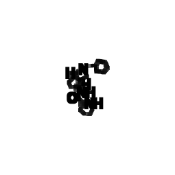 O=C(N[C@@H]1CC[C@H]2CN(Cc3ccccc3)C[C@H]21)[C@@H]1CCCCN1